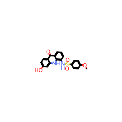 COc1ccc(S(=O)(=O)Nc2cccc3c(=O)c4ccc(O)cc4[nH]c23)cc1